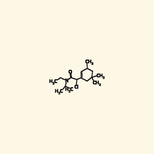 CCN(C(=O)C(Cl)C1=CC(C)CC(C)(C)C1)C(C)C